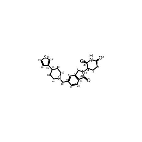 O=C1CCC(N2Cc3cc(CN4CCC(c5ccsc5)CC4)ccc3C2=O)C(=O)N1